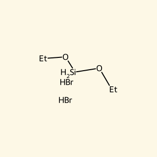 Br.Br.CCO[SiH2]OCC